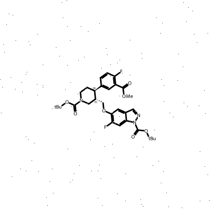 COC(=O)c1cc([C@@H]2CCN(C(=O)OC(C)(C)C)C[C@H]2COc2cc3cnn(C(=O)OC(C)(C)C)c3cc2F)ccc1F